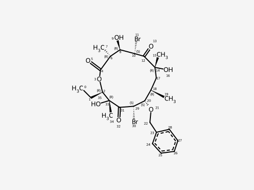 CC[C@H]1OC(=O)[C@H](C)[C@@H](O)[C@H](Br)C(=O)[C@](C)(O)C[C@@H](C)[C@H](OCc2ccccc2)[C@H](Br)C(=O)[C@]1(C)O